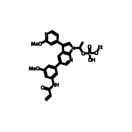 C=CC(=O)Nc1cc(OC)cc(-c2cnc3c(c2)c(-c2ccnc(OC)c2)cn3C(C)OP(=O)(O)OCC)c1